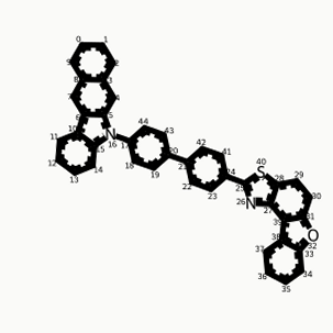 c1ccc2cc3c(cc2c1)c1ccccc1n3-c1ccc(-c2ccc(-c3nc4c(ccc5oc6ccccc6c54)s3)cc2)cc1